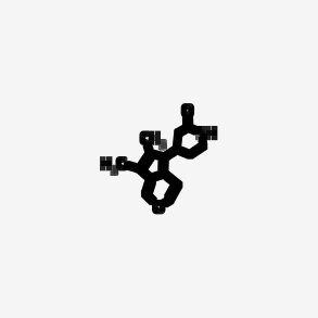 Cc1c2coccc-2c(C2CCNC(=O)C2)c1C